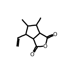 C=CC1C(C)C(C)C2C(=O)OC(=O)C12